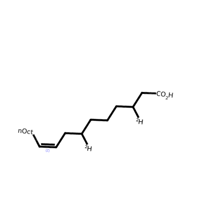 [2H]C(C/C=C\CCCCCCCC)CCCC([2H])CC(=O)O